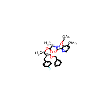 COc1ccnc(C(=O)N[C@@H](C)C(=O)O[C@@H](C)[C@@H](COCc2ccccc2)Cc2ccc(F)cc2)c1OCOC(C)=O